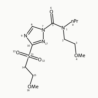 CCCN(CCOC)C(=O)n1cnc(S(=O)(=O)CCOC)n1